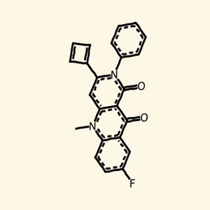 Cn1c2ccc(F)cc2c(=O)c2c(=O)n(-c3ccccc3)c(C3=CC=C3)cc21